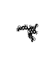 C=CC(=O)N1C[C@H](C)n2nc(-c3nc(-c4cnc5c(c4)CN(CC(=O)N(C)C)CC5)c4scc(F)c4c3-c3c(F)cc(F)cc3OCCOC)cc2[C@H]1C